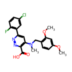 COc1ccc(CN(C)c2cc(-c3cc(Cl)ccc3F)nnc2C(=O)O)c(OC)c1